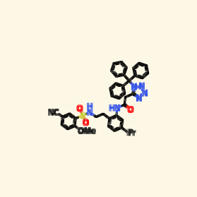 COc1ccc(C#N)cc1S(=O)(=O)NCCc1ccc(C(C)C)cc1NC(=O)Cc1nnnn1C(c1ccccc1)(c1ccccc1)c1ccccc1